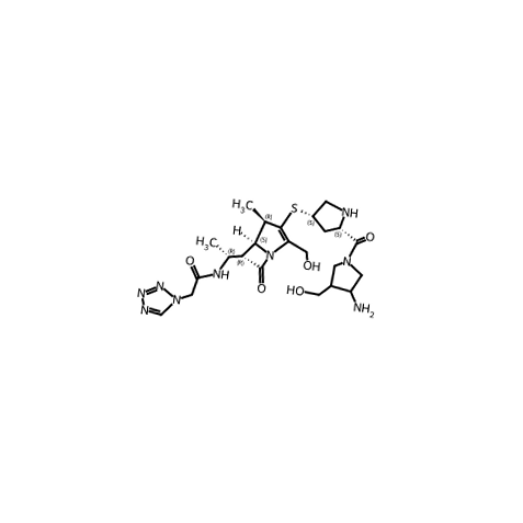 C[C@@H](NC(=O)Cn1cnnn1)[C@H]1C(=O)N2C(CO)=C(S[C@@H]3CN[C@H](C(=O)N4CC(N)C(CO)C4)C3)[C@H](C)[C@H]12